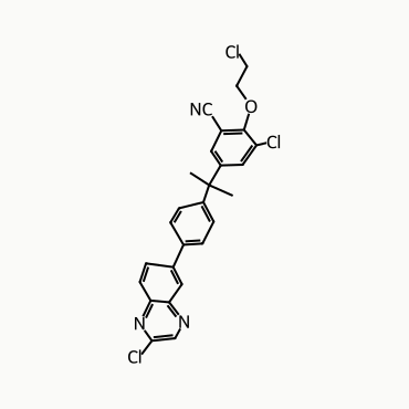 CC(C)(c1ccc(-c2ccc3nc(Cl)cnc3c2)cc1)c1cc(Cl)c(OCCCl)c(C#N)c1